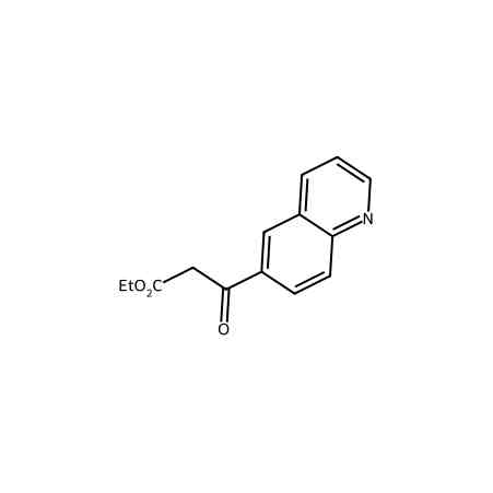 CCOC(=O)CC(=O)c1ccc2ncccc2c1